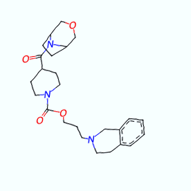 O=C(OCCCN1CCc2ccccc2C1)N1CCC(C(=O)N2C3CCC2COC3)CC1